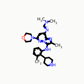 Cc1nc2c(/N=C/N(C)C)cc(N3CCOCC3)nn2c1Nc1cccc(C(F)(F)F)c1C1CCNCC1